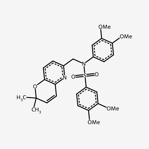 COc1ccc(N(Cc2ccc3c(n2)C=CC(C)(C)O3)S(=O)(=O)c2ccc(OC)c(OC)c2)cc1OC